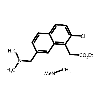 CCOC(=O)Cc1c(Cl)ccc2ccc(CN(C)C)cc12.CNC